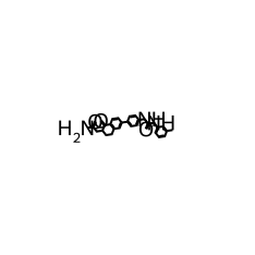 Cc1cccc(NC(=O)Nc2ccc(-c3ccc4c(c3)CCC(CC(N)=O)C4=O)cc2)c1